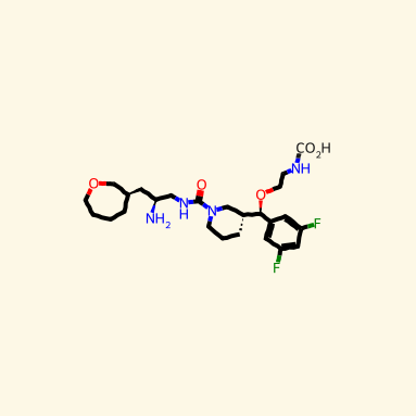 N[C@H](CNC(=O)N1CCC[C@@H]([C@@H](OCCNC(=O)O)c2cc(F)cc(F)c2)C1)C[C@H]1CCCCOC1